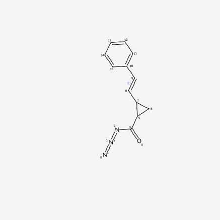 [N-]=[N+]=NC(=O)C1CC1/C=C/c1ccccc1